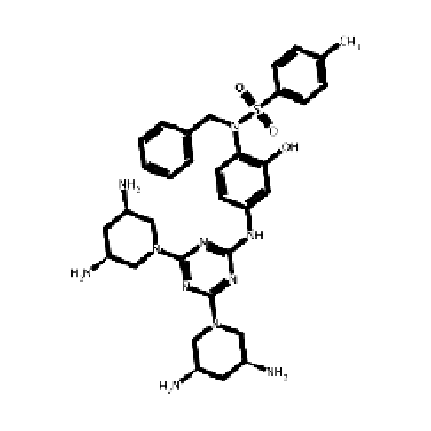 Cc1ccc(S(=O)(=O)N(Cc2ccccc2)c2ccc(Nc3nc(N4C[C@H](N)C[C@H](N)C4)nc(N4C[C@H](N)C[C@H](N)C4)n3)cc2O)cc1